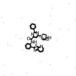 Cl.O=C(Nc1ccccc1-c1nc2cccnc2s1)c1cc(N2CCNCC2)nc(-c2ccccc2)n1